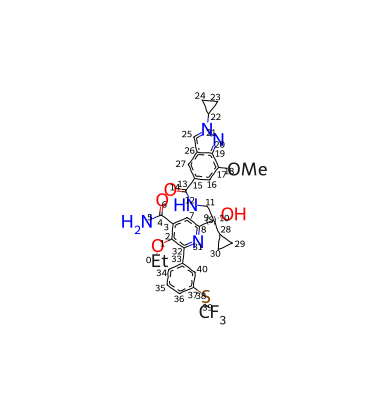 CCOc1c(C(N)=O)cc([C@@](O)(CNC(=O)c2cc(OC)c3nn(C4CC4)cc3c2)C2CC2)nc1-c1cccc(SC(F)(F)F)c1